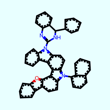 c1ccc(C2NC(n3c4ccccc4c4c5c6c7oc8ccccc8c7ccc6n(-c6cccc7ccccc67)c5ccc43)=Nc3ccccc32)cc1